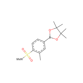 CNS(=O)(=O)c1ccc(B2OC(C)(C)C(C)(C)O2)cc1C